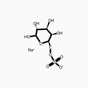 O=S(=O)([O-])OC[C@H]1OC(O)[C@H](O)[C@@H](O)[C@H]1O.[Na+]